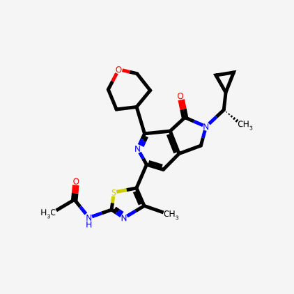 CC(=O)Nc1nc(C)c(-c2cc3c(c(C4CCOCC4)n2)C(=O)N([C@@H](C)C2CC2)C3)s1